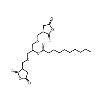 CCCCCCCCCC(=O)OC(CSCC1CC(=O)OC1=O)CSCC1CC(=O)OC1=O